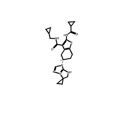 O=C(NCC1CC1)c1c(NC(=O)C2CC2)sc2c1C[C@@H](n1cn[n+]3c1NCC31CC1)CC2